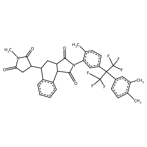 Cc1ccc(C(c2ccc(C)c(N3C(=O)C4CC(C5CC(=O)N(C)C5=O)c5ccccc5C4C3=O)c2)(C(F)(F)F)C(F)(F)F)cc1C